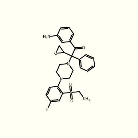 CCS(=O)(=O)c1cc(F)ccc1N1CCN(C(C(=O)c2cccc(N)c2)(c2ccccc2)C2CO2)CC1